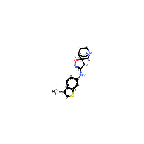 Cc1csc2cc(NC3=NO[C@@]4(C3)CN3CCC4CC3)ccc12